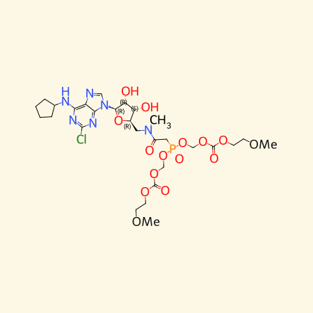 COCCOC(=O)OCOP(=O)(CC(=O)N(C)C[C@H]1O[C@@H](n2cnc3c(NC4CCCC4)nc(Cl)nc32)[C@H](O)[C@@H]1O)OCOC(=O)OCCOC